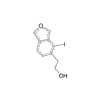 OCCc1ccc2cocc2c1I